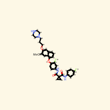 COc1cc2c(Oc3ccc(NC(=O)C4(C(=O)Nc5ccc(F)cc5)CC4)cc3F)cccc2cc1OCCCN1CCNCC1